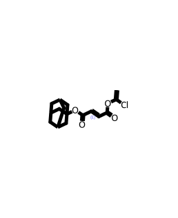 C=C(Cl)OC(=O)/C=C/C(=O)OC12CC3CC(CC(C3)C1)C2